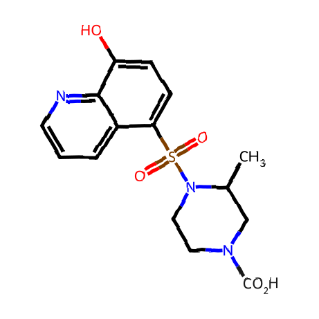 CC1CN(C(=O)O)CCN1S(=O)(=O)c1ccc(O)c2ncccc12